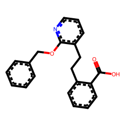 O=C(O)c1ccccc1CCc1cccnc1OCc1ccccc1